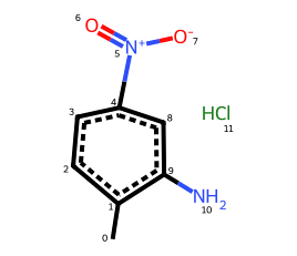 Cc1ccc([N+](=O)[O-])cc1N.Cl